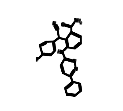 N#CC(c1ccc(F)cc1)c1c(Nc2ccc(-c3ccccc3)nn2)cccc1C(N)=O